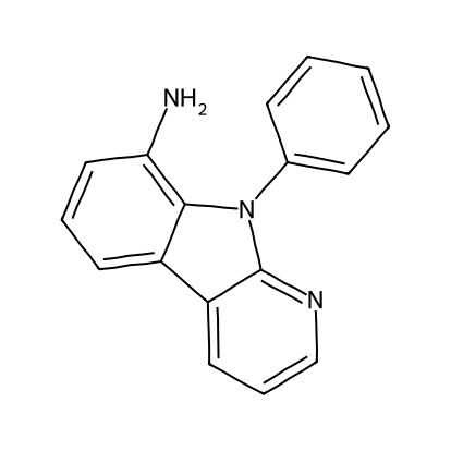 Nc1cccc2c3cccnc3n(-c3ccccc3)c12